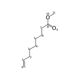 [CH]=CCCCCCCC(=O)OC